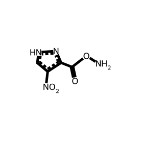 NOC(=O)c1n[nH]cc1[N+](=O)[O-]